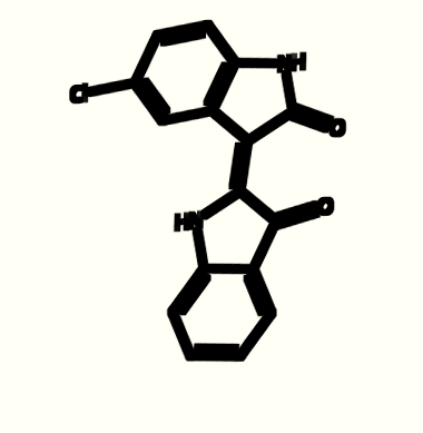 O=C1Nc2ccc(Cl)cc2C1=C1Nc2ccccc2C1=O